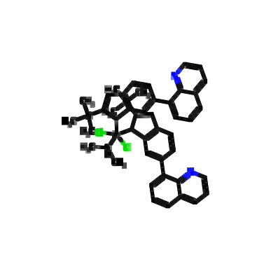 C[SiH](C)[Zr]([Cl])([Cl])([CH]1C([Si](C)(C)C)=Cc2ccc(-c3cccc4cccnc34)cc21)[CH]1C([Si](C)(C)C)=Cc2ccc(-c3cccc4cccnc34)cc21